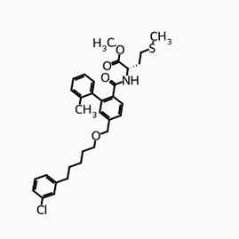 COC(=O)[C@H](CCSC)NC(=O)c1ccc(COCCCCCc2cccc(Cl)c2)cc1-c1ccccc1C